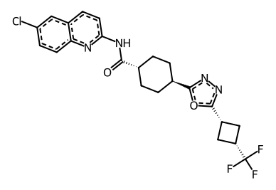 O=C(Nc1ccc2cc(Cl)ccc2n1)[C@H]1CC[C@H](c2nnc([C@H]3C[C@@H](C(F)(F)F)C3)o2)CC1